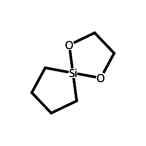 C1CC[Si]2(C1)OCCO2